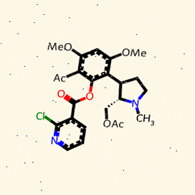 COc1cc(OC)c(C2CCN(C)[C@@H]2COC(C)=O)c(OC(=O)c2cccnc2Cl)c1C(C)=O